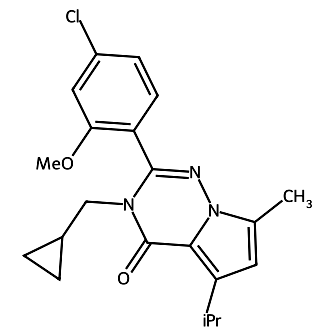 COc1cc(Cl)ccc1-c1nn2c(C)cc(C(C)C)c2c(=O)n1CC1CC1